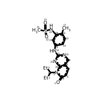 CCC(CC)n1c(=O)ccc2cnc(Nc3ccc(C)c(NS(C)(=O)=O)c3)nc21